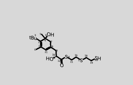 CC1=C(C(C)(C)C)C(C)(O)CC(C[C@H](O)C(=O)SCCSCCS)=C1